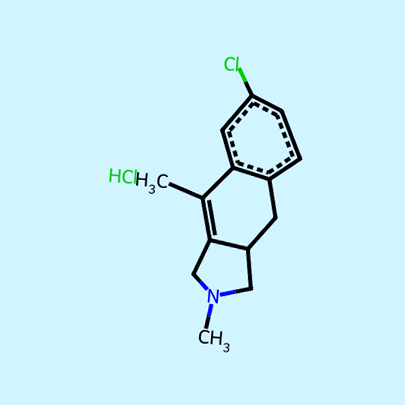 CC1=C2CN(C)CC2Cc2ccc(Cl)cc21.Cl